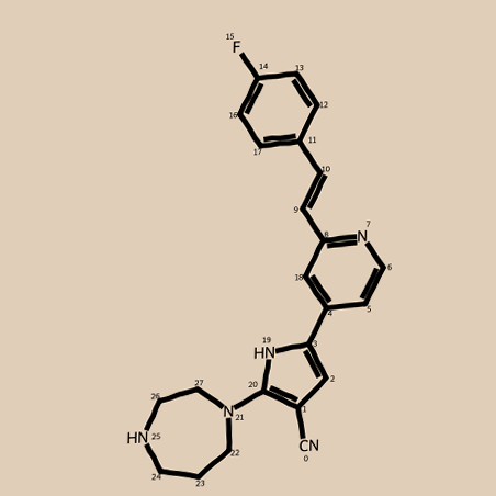 N#Cc1cc(-c2ccnc(/C=C/c3ccc(F)cc3)c2)[nH]c1N1CCCNCC1